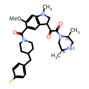 COc1cc2c(cc1C(=O)N1CCC(Cc3ccc(F)cc3)CC1)C(C(=O)C(=O)N1C[C@@H](C)NC[C@@H]1C)CN2C